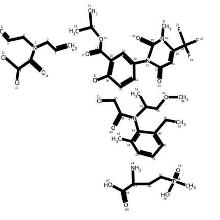 C=CCN(CC=C)C(=O)C(Cl)Cl.CC(C)OC(=O)c1cc(-n2c(=O)cc(C(F)(F)F)n(C)c2=O)ccc1Cl.CCc1cccc(C)c1N(C(=O)CCl)C(C)COC.CP(=O)(O)CCC(N)C(=O)O